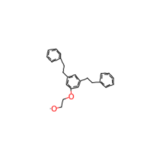 [O]CCOc1cc(CCc2ccccc2)cc(CCc2ccccc2)c1